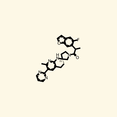 Cc1nc2c(cc1-c1ncccn1)CC[C@@]1(CCN(C(=O)C(C)c3cc4occc4cc3F)C1)N2